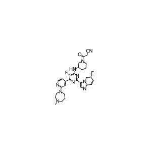 CN1CCCN(c2cc(-c3nc(-c4cnc5ccc(F)cn45)nc(N[C@@H]4CCCN(C(=O)CC#N)C4)c3F)ccn2)CC1